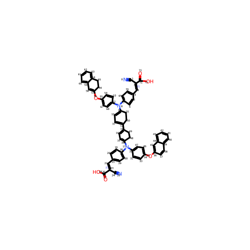 N#C/C(=C\c1ccc(N(C2=CC=C(C3=CC=C(N(c4ccc(/C=C(\C#N)C(=O)O)cc4)c4ccc(Oc5ccc6ccccc6c5)cc4)CC3)CC2)c2ccc(OC3=Cc4ccccc4CC3)cc2)cc1)C(=O)O